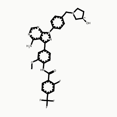 COc1cc(-c2nn(-c3ccc(CN4CC[C@@H](O)C4)cc3)c3ncnc(N)c23)ccc1NC(=O)c1ccc(C(F)(F)F)cc1F